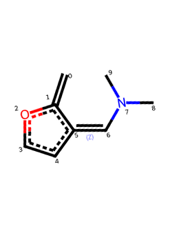 C=c1occ/c1=C/N(C)C